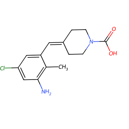 Cc1c(N)cc(Cl)cc1C=C1CCN(C(=O)O)CC1